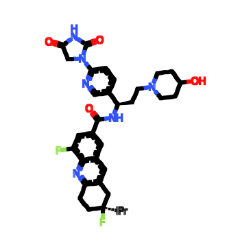 CC(C)[C@]1(F)CCc2nc3c(F)cc(C(=O)N[C@H](CCN4CCC(O)CC4)c4ccc(N5CC(=O)NC5=O)nc4)cc3cc2C1